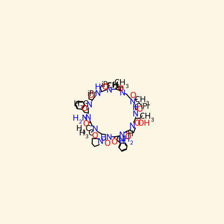 CC(C)CC1NC(=O)C(CC(C)C)N(C)C(=O)C(Cc2ccccc2)N(N)C(=O)[C@H](C)N(C)C(=O)C[C@@H](C(=O)N2CCCCC2)NC(=O)[C@](N)(Cc2ccccc2)NC(=O)[C@@H]2CCN2C(=O)[C@H]([C@@H](C)O)NC(=O)[C@H](CC(C)C)N(C)C(=O)CN2CC(C)[C@@H](C2=O)N(C)C1=O